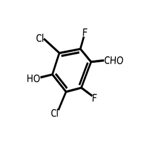 O=Cc1c(F)c(Cl)c(O)c(Cl)c1F